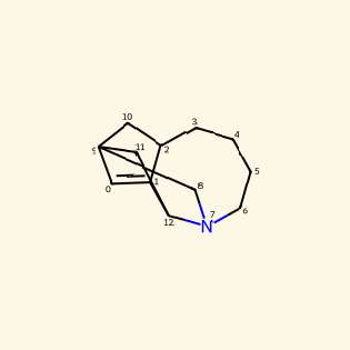 C1=C2C3CCCCN4CC1(C3)CC24